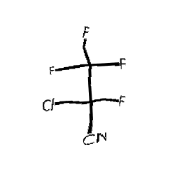 N#CC(F)(Cl)C(F)(F)F